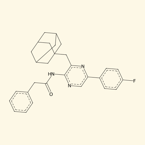 O=C(Cc1ccccc1)Nc1ncc(-c2ccc(F)cc2)nc1CC12CC3CC(CC(C3)C1)C2